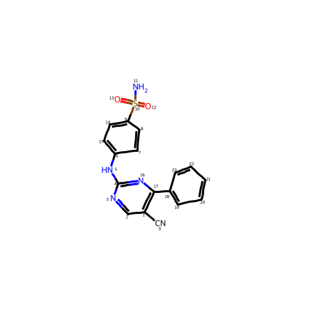 N#Cc1cnc(Nc2ccc(S(N)(=O)=O)cc2)nc1-c1ccccc1